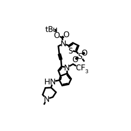 CN1CCC(Nc2cccc3c2cc(C#CCN(C(=O)OC(C)(C)C)c2ccc(S(C)(=O)=O)s2)n3CC(F)(F)F)CC1